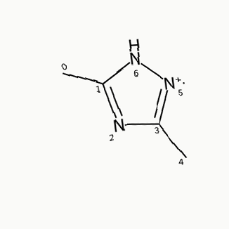 CC1=NC(C)=[N+]N1